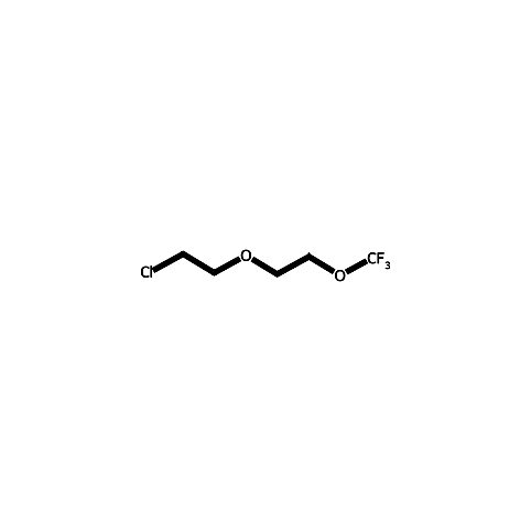 FC(F)(F)O[CH]COCCCl